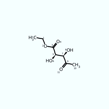 CCOC(=O)[C@H](O)[C@@H](O)C(C)=O